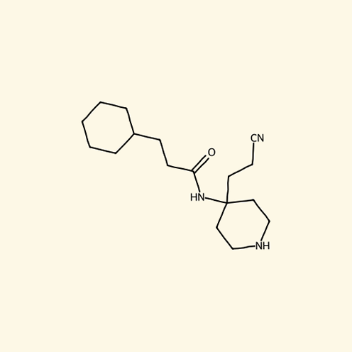 N#CCCC1(NC(=O)CCC2CCCCC2)CCNCC1